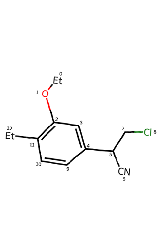 CCOc1cc(C(C#N)CCl)ccc1CC